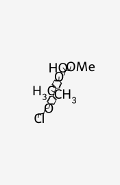 COCC(O)COc1ccc(C(C)(C)c2ccc(OCCCCl)cc2)cc1